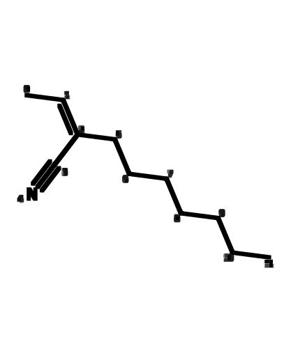 CC=C(C#N)CCCCCCC